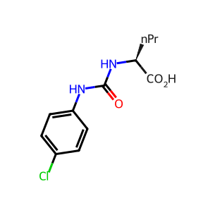 CCC[C@H](NC(=O)Nc1ccc(Cl)cc1)C(=O)O